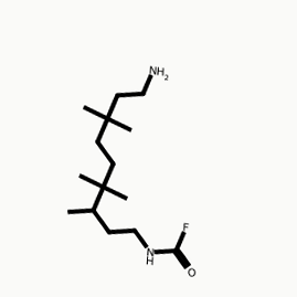 CC(CCNC(=O)F)C(C)(C)CCC(C)(C)CCN